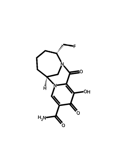 NC(=O)c1cn2c(c(O)c1=O)C(=O)N1C[C@@H]2CCC[C@@H]1CF